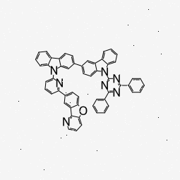 c1ccc(-c2nc(-c3ccccc3)nc(-n3c4ccccc4c4cc(-c5ccc6c7ccccc7n(-c7cccc(-c8ccc9oc%10cccnc%10c9c8)n7)c6c5)ccc43)n2)cc1